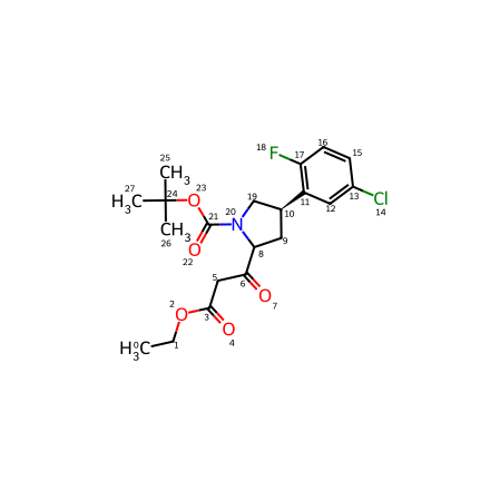 CCOC(=O)CC(=O)C1C[C@H](c2cc(Cl)ccc2F)CN1C(=O)OC(C)(C)C